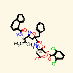 CC(C)[C@H](NC(=O)c1cccc2ccccc12)C1=NOC(Cc2ccccc2)(C(=O)N[C@@H](CC(=O)O)C(=O)COC(=O)c2c(Cl)cccc2Cl)C1